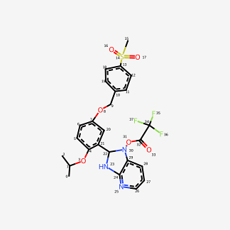 CC(C)Oc1ccc(OCc2ccc(S(C)(=O)=O)cc2)cc1C1Nc2ncccc2N1OC(=O)C(F)(F)F